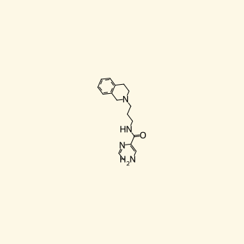 C/C=N\C(=C/N)C(=O)NCCCN1CCc2ccccc2C1